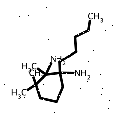 CCCCCC1(N)CCCC(C)(C)C1(C)N